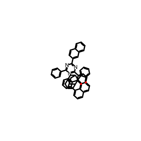 c1ccc(-c2nc(-c3ccc4ccccc4c3)nc(-c3ccccc3-c3ccccc3-c3cccc4ccc5c(c34)C3(c4ccccc4-5)C4CC5CC(C4)CC3C5)n2)cc1